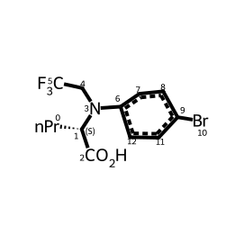 CCC[C@@H](C(=O)O)N(CC(F)(F)F)c1ccc(Br)cc1